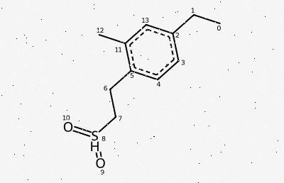 CCc1ccc(CC[SH](=O)=O)c(C)c1